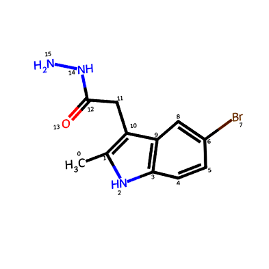 Cc1[nH]c2ccc(Br)cc2c1CC(=O)NN